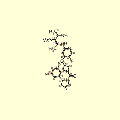 CS/C(C(C)=N)=C(\C)Nc1cc(OC2CN(C(=O)N3N=CC[C@H]3c3cc(F)cc(F)c3)C2)c(F)cn1